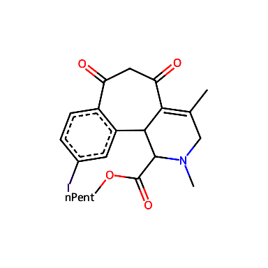 CCCCCOC(=O)C1C2C(=C(C)CN1C)C(=O)CC(=O)c1ccc(I)cc12